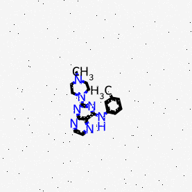 Cc1cccc(Nc2nc(N3CCN(C)CC3)nc3nccnc23)c1